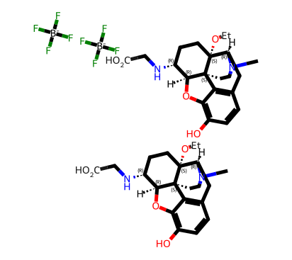 CCO[C@@]12CC[C@@H](NCC(=O)O)[C@@H]3Oc4c(O)ccc5c4[C@@]31CCN(C)[C@@H]2C5.CCO[C@@]12CC[C@@H](NCC(=O)O)[C@@H]3Oc4c(O)ccc5c4[C@@]31CCN(C)[C@@H]2C5.F[B-](F)(F)F.F[B-](F)(F)F